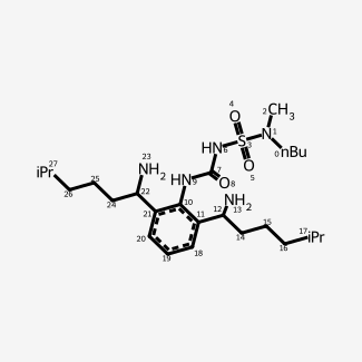 CCCCN(C)S(=O)(=O)NC(=O)Nc1c(C(N)CCCC(C)C)cccc1C(N)CCCC(C)C